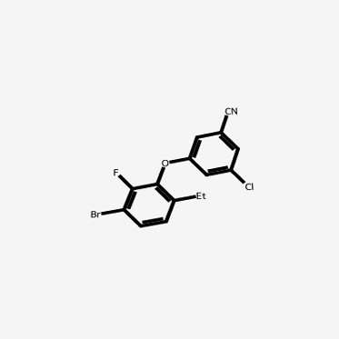 CCc1ccc(Br)c(F)c1Oc1cc(Cl)cc(C#N)c1